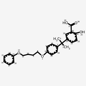 CC(C)(c1ccc(OCCCCOc2ccccc2)cc1)c1ccc(O)c(C(=O)O)c1